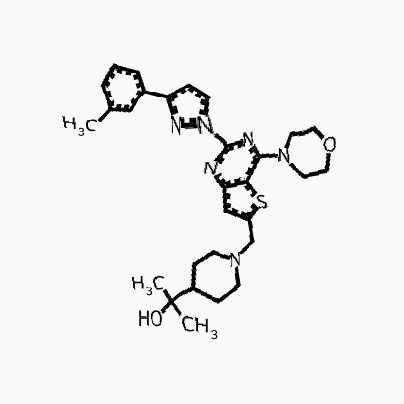 Cc1cccc(-c2ccn(-c3nc(N4CCOCC4)c4sc(CN5CCC(C(C)(C)O)CC5)cc4n3)n2)c1